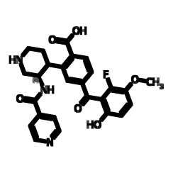 COc1ccc(O)c(C(=O)c2ccc(C(=O)O)c(C3CCNC[C@@H]3NC(=O)c3ccncc3)c2)c1F